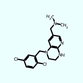 CN(C)Cc1cnc2c(c1)N(Cc1cc(Cl)ccc1Cl)CCN2